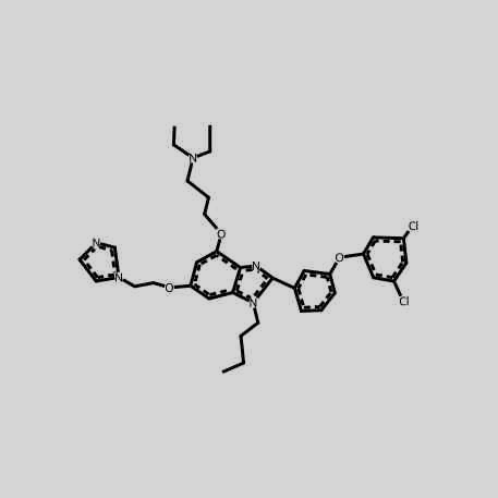 CCCCn1c(-c2cccc(Oc3cc(Cl)cc(Cl)c3)c2)nc2c(OCCCN(CC)CC)cc(OCCn3ccnc3)cc21